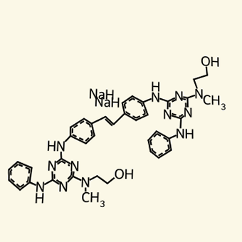 CN(CCO)c1nc(Nc2ccccc2)nc(Nc2ccc(C=Cc3ccc(Nc4nc(Nc5ccccc5)nc(N(C)CCO)n4)cc3)cc2)n1.[NaH].[NaH]